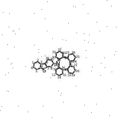 c1ccc2c(c1)sc1cc(-n3c4ccccc4c4ccccc4c4ccccc4c4ccccc43)ccc12